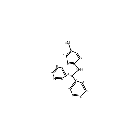 Clc1ccc(NC(c2ccccc2)c2cccnc2)cc1